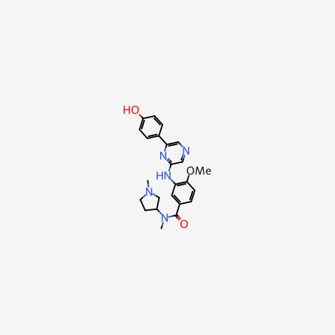 COc1ccc(C(=O)N(C)C2CCN(C)C2)cc1Nc1cncc(-c2ccc(O)cc2)n1